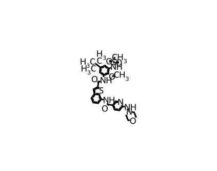 COc1c(NC(=O)c2cc3cccc(NC(=O)c4ccc(NN5CCOCC5)nc4)c3s2)cc(C(C)(C)C)cc1NS(C)(=O)=O